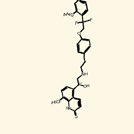 COc1ccccc1C(F)(F)COc1ccc(CCNC[C@@H](O)c2ccc(O)c3[nH]c(=O)ccc23)cc1